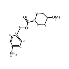 COC1CCN(C(=O)OCc2ccc(N)cc2)CC1